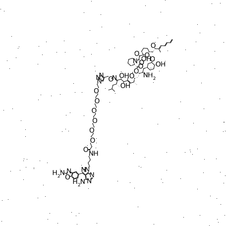 C=C/C=C/C=C(\C)[C@H](C[C@@H]1CC[C@@H](C)[C@](O)(C(=O)C(=O)N2CCCC[C@H]2C(=O)O[C@@H](C[C@@H](OC)[C@H](C)/C=C(\C)[C@@H](O)[C@@H](O)/C(=N/OCc2cn(CCOCCOCCOCCOCCOCCOCCC(=O)NCCCCn3nc(-c4ccc5oc(N)nc5c4)c4c(N)ncnc43)nn2)[C@H](C)CC(C)C)[C@H](N)C[C@@H]2CC[C@@H](O)[C@H](OC)C2)O1)OC